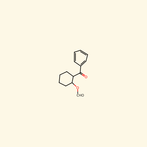 O=COC1CCCCC1C(=O)c1ccccc1